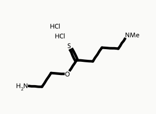 CNCCCC(=S)OCCN.Cl.Cl